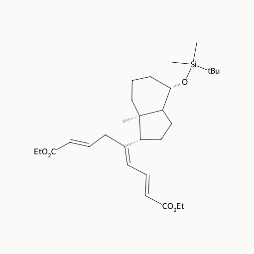 CCOC(=O)/C=C/C=C(/C/C=C/C(=O)OCC)[C@H]1CCC2[C@@H](O[Si](C)(C)C(C)(C)C)CCC[C@@]21C